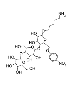 NCCCCCOC1OC(COc2ccc([N+](=O)[O-])cc2)C(OC2OC(CO)C(OC3OC(CO)C(O)C(O)C3O)C(O)C2O)C(O)C1O